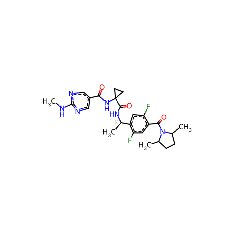 CNc1ncc(C(=O)NC2(C(=O)N[C@H](C)c3cc(F)c(C(=O)N4C(C)CCC4C)cc3F)CC2)cn1